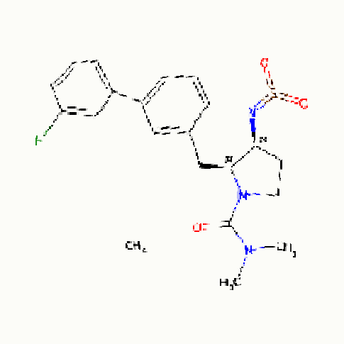 C.CN(C)C(=O)N1CC[C@H](N=S(=O)=O)[C@@H]1Cc1cccc(-c2cccc(F)c2)c1